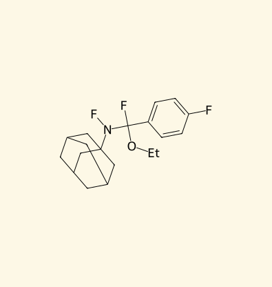 CCOC(F)(c1ccc(F)cc1)N(F)C12CC3CC(CC(C3)C1)C2